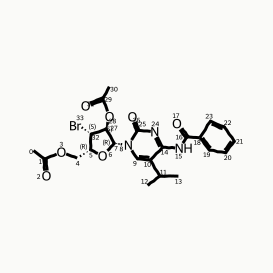 CC(=O)OC[C@H]1O[C@@H](n2cc(C(C)C)c(NC(=O)c3ccccc3)nc2=O)[C@H](OC(C)=O)[C@H]1Br